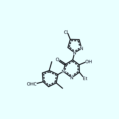 CCc1nn(-c2c(C)cc(C=O)cc2C)c(=O)c(-n2cc(Cl)cn2)c1O